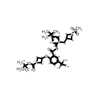 CC(C)(C)OC(=O)N1CC(Oc2ccc(C(F)(F)F)cc2C(=O)N=c2sc(C(C)(C)C)cn2CC2CN(S(C)(=O)=O)C2)C1